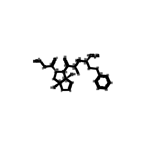 CCCCCCCCOC(=O)[C@H]1C[C@H]2CC=C[C@@H]2N1C(=O)[C@H](C)N[C@@H](CCc1ccccc1)C(=O)OCC